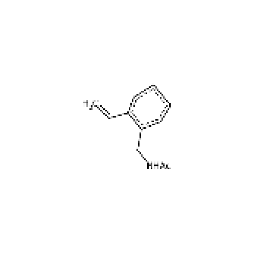 C=Cc1ccccc1CNC(C)=O